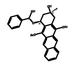 CC(=O)Oc1c2c(c(OC(C)=O)c3cc4ccccc4cc13)[C@@H](OB(O)c1ccccc1)C[C@@](C)(O)C2